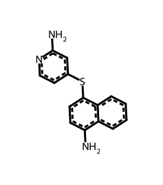 Nc1cc(Sc2ccc(N)c3ccccc23)ccn1